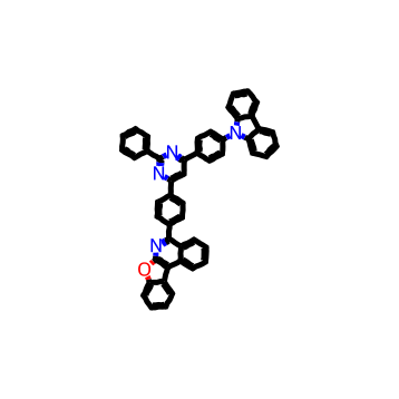 c1ccc(-c2nc(-c3ccc(-c4nc5oc6ccccc6c5c5ccccc45)cc3)cc(-c3ccc(-n4c5ccccc5c5ccccc54)cc3)n2)cc1